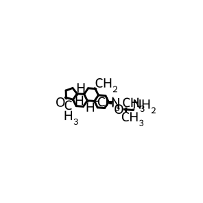 C=C1C[C@@H]2[C@H](CC[C@]3(C)C(=O)CC[C@@H]23)[C@@]2(C)CCC(=NOC(C)(C)CN)CC12